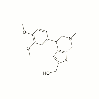 COc1ccc(C2CN(C)Cc3sc(CO)cc32)cc1OC